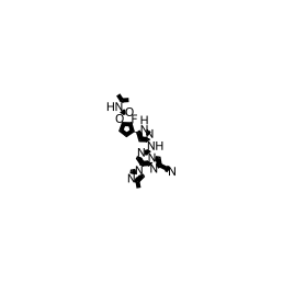 Cc1cn(-c2cnc(Nc3cc([C@@H]4CC[C@H](OC(=O)NC(C)C)[C@H]4F)[nH]n3)n3cc(C#N)nc23)cn1